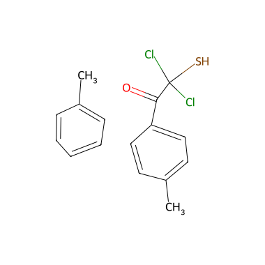 Cc1ccc(C(=O)C(S)(Cl)Cl)cc1.Cc1ccccc1